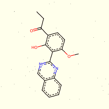 CCC(=O)c1ccc(OC)c(-c2ncc3ccccc3n2)c1O